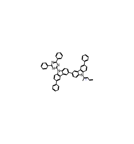 C=C/C=C(\C)n1c2ccc(-c3ccccc3)cc2c2cc(-c3ccc4c(c3)c3cc(-c5ccccc5)ccc3n4-c3nc(-c4ccccc4)nc(-c4ccccc4)n3)ccc21